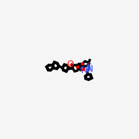 C\C1=C(c2ccccc2)/N=C(c2ccccc2)\N=C(\C2=Cc3oc4cc(-c5ccc6ccccc6c5)ccc4c3CC2)CC1